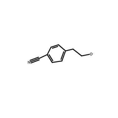 N#Cc1ccc(CC[O])cc1